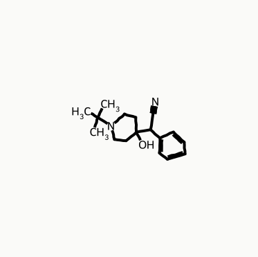 CC(C)(C)N1CCC(O)(C(C#N)c2ccccc2)CC1